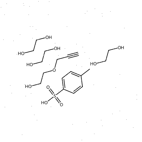 C#CCOCCO.Cc1ccc(S(=O)(=O)O)cc1.OCCO.OCCO.OCCO